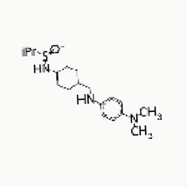 CC(C)[S+]([O-])NC1CCC(CNc2ccc(N(C)C)cc2)CC1